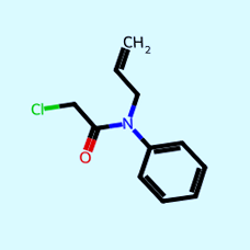 C=CCN(C(=O)CCl)c1ccccc1